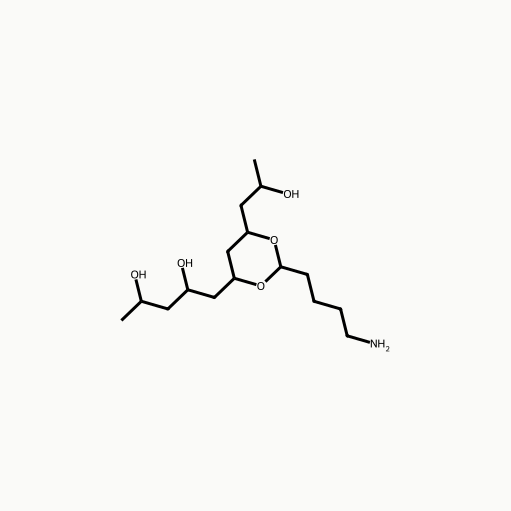 CC(O)CC(O)CC1CC(CC(C)O)OC(CCCCN)O1